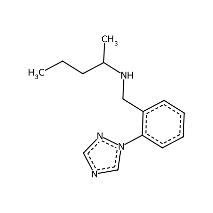 CCCC(C)NCc1ccccc1-n1cncn1